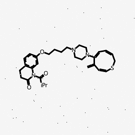 C=C1/C=C\SC/C=C\C=C/1N1CCN(CCCCOc2ccc3c(c2)N(C(=O)C(C)C)C(=O)CC3)CC1